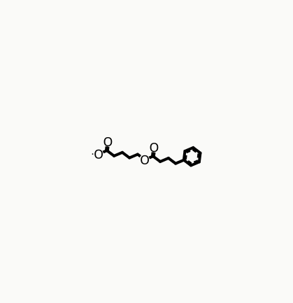 [O]C(=O)CCCCOC(=O)CCCc1ccccc1